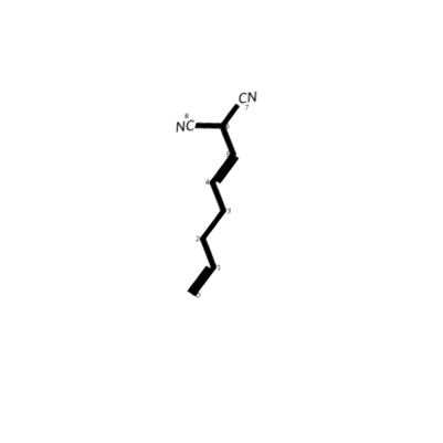 C=CCC/C=C/C(C#N)C#N